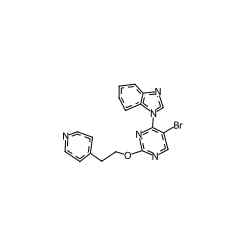 Brc1cnc(OCCc2ccncc2)nc1-n1cnc2ccccc21